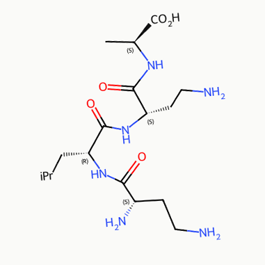 CC(C)C[C@@H](NC(=O)[C@@H](N)CCN)C(=O)N[C@@H](CCN)C(=O)N[C@@H](C)C(=O)O